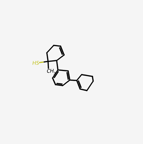 CC1(S)CCC=CC1c1cccc(C2=CCCCC2)c1